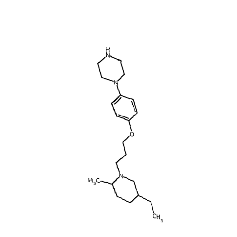 CCC1CCC(C)N(CCCOc2ccc(N3CCNCC3)cc2)C1